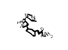 Cc1cc(-c2c[nH]c3ncc(-c4cccc(C=CC(N)=O)c4)cc23)ncn1